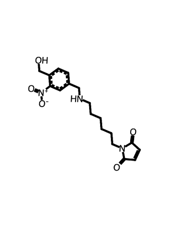 O=C1C=CC(=O)N1CCCCCCNCc1ccc(CO)c([N+](=O)[O-])c1